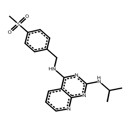 CC(C)Nc1nc(NCc2ccc(S(C)(=O)=O)cc2)c2cccnc2n1